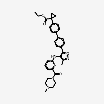 CCOC(=O)C1(c2ccc(-c3ccc(-c4onc(C)c4Nc4cccc(C(=O)N5CCN(C)CC5)n4)cc3)cc2)CC1